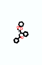 O=C(C[C@H](c1ccccc1)[C@H]1COC2(CCCCC2)O1)c1ccccc1